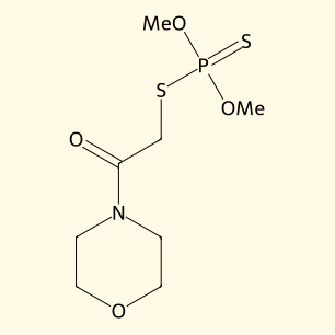 COP(=S)(OC)SCC(=O)N1CCOCC1